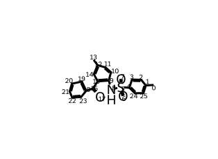 Cc1ccc(S(=O)(=O)Nc2ccc(C)cc2C(=O)c2ccccc2)cc1